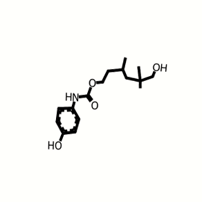 CC(CCOC(=O)Nc1ccc(O)cc1)CC(C)(C)CO